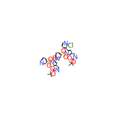 CN(Cc1cc(-c2cccnc2Cl)n(S(=O)(=O)c2cccnc2)c1)C(=O)OC(C)(C)C.CN(Cc1cc(Br)n(S(=O)(=O)c2cccnc2)c1)C(=O)OC(C)(C)C